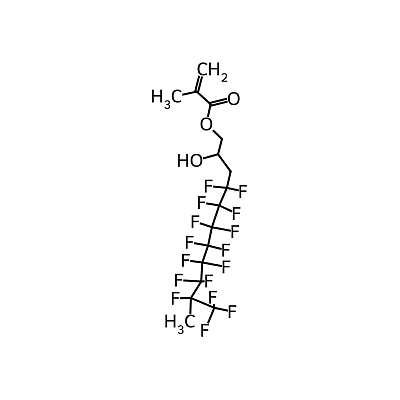 C=C(C)C(=O)OCC(O)CC(F)(F)C(F)(F)C(F)(F)C(F)(F)C(F)(F)C(F)(F)C(C)(F)C(F)(F)F